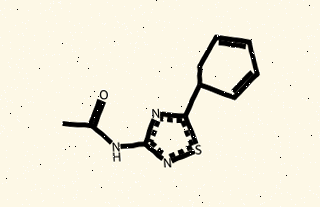 CC(=O)Nc1nsc(C2C=CC=CC2)n1